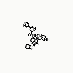 CN(CC1CNCCO1)c1c(NC(=O)c2cncc(-c3ccnnc3)n2)ccc(Oc2ccccc2F)c1C(F)(F)F